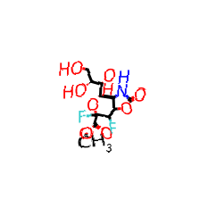 COC(=O)C1(F)OC([C@H](O)[C@H](O)CO)C2NC(=O)OC2C1F